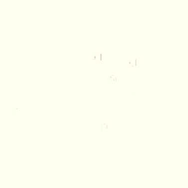 Clc1ccc2c(c1)Oc1ccccc1[Si]2(Cl)Cl